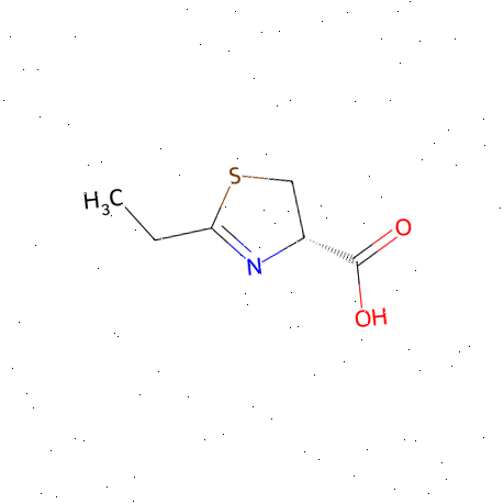 CCC1=N[C@@H](C(=O)O)CS1